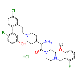 CCOc1cccc(F)c1CN1CCN(C(=O)C(N)C2CCN(CCc3cc(Cl)ccc3-c3cc(O)ccc3F)CC2)CC1.Cl